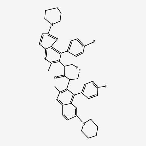 Cc1nc2ccc(N3CCCCC3)cc2c(-c2ccc(F)cc2)c1C(CF)C(=O)C(CF)c1c(C)nc2ccc(N3CCCCC3)cc2c1-c1ccc(F)cc1